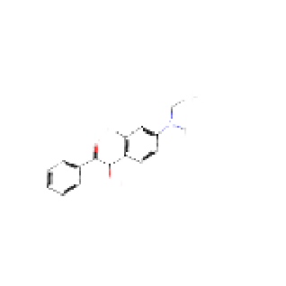 CCN(CC(F)(F)F)c1ccc(C(O)C(=O)c2ccccc2)c(C(F)(F)F)c1